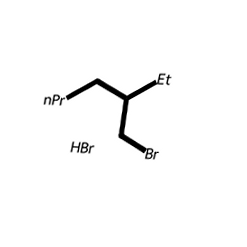 Br.CCCCC(CC)CBr